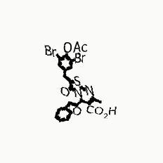 CC(=O)Oc1c(Br)cc(C=c2sc3n(c2=O)C(c2cc4ccccc4o2)C(C(=O)O)=C(C)N=3)cc1Br